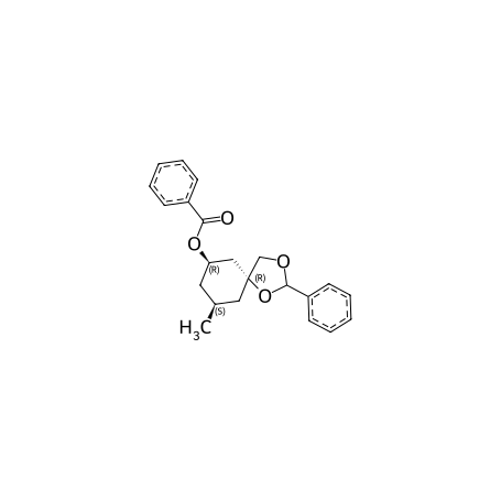 C[C@H]1C[C@@H](OC(=O)c2ccccc2)C[C@@]2(COC(c3ccccc3)O2)C1